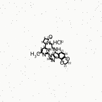 Cc1cc(C2CCC(=O)N2CCNCc2ccc3c(c2)OCCO3)nc(-n2ccnc2)n1.Cl